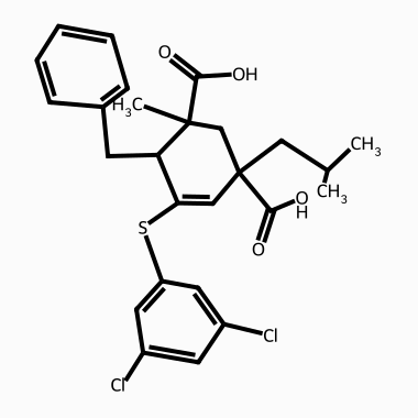 CC(C)CC1(C(=O)O)C=C(Sc2cc(Cl)cc(Cl)c2)C(Cc2ccccc2)C(C)(C(=O)O)C1